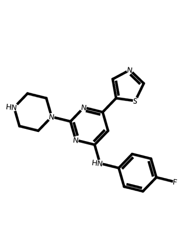 Fc1ccc(Nc2cc(-c3cncs3)nc(N3CCNCC3)n2)cc1